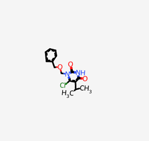 CC(C)c1c(Cl)n(COCc2ccccc2)c(=O)[nH]c1=O